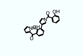 O=C(c1ccc[nH]1)c1cccc(-c2ccn(C(=O)c3ccccc3O)c2)c1O